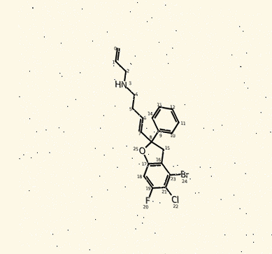 C=CCNCCC=CC1(c2ccccc2)Cc2c(cc(F)c(Cl)c2Br)O1